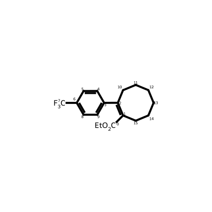 CCOC(=O)C1=C(c2ccc(C(F)(F)F)cc2)CCCCCC1